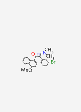 COc1ccc(C(=O)/C(=C/N(C)C)c2cccc(Br)c2)c2ccccc12